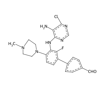 CN1CCN(c2ccc(-c3ccc(C=O)cc3)c(F)c2Nc2ncnc(Cl)c2N)CC1